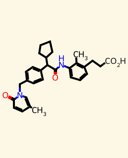 Cc1ccc(=O)n(Cc2ccc(C(C(=O)Nc3cccc(CCC(=O)O)c3C)C3CCCC3)cc2)c1